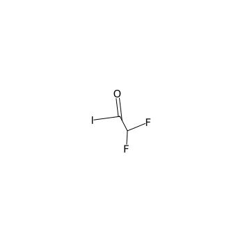 O=C(I)C(F)F